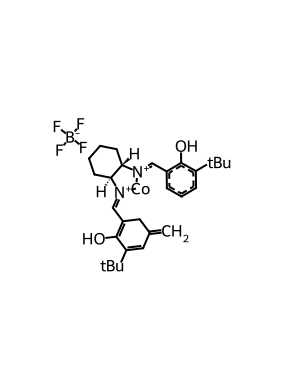 C=C1C=C(C(C)(C)C)C(O)=C(C=[N+]2[Co][N+](=Cc3cccc(C(C)(C)C)c3O)[C@H]3CCCC[C@@H]32)C1.F[B-](F)(F)F